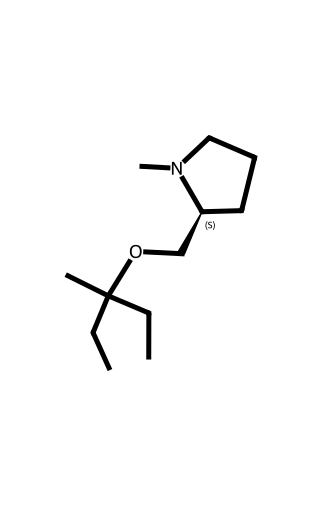 CCC(C)(CC)OC[C@@H]1CCCN1C